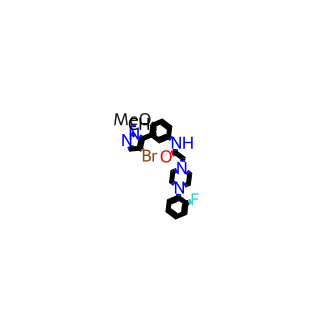 COc1ccc(NC(=O)CN2CCN(c3ccccc3F)CC2)cc1-c1c(Br)cnn1C